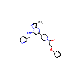 Bc1cnn2c(NCc3cccnc3)cc(C3CCN(C(=O)CCOc4ccccc4)CC3)nc12